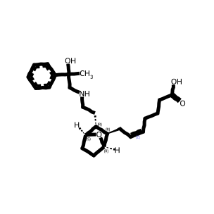 CC(O)(CNCC[C@@H]1[C@@H](C/C=C\CCCC(=O)O)[C@H]2CC[C@@H]1O2)c1ccccc1